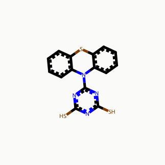 Sc1nc(S)nc(N2c3ccccc3Sc3ccccc32)n1